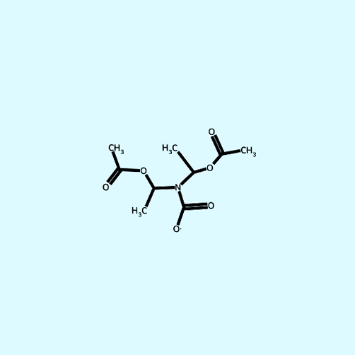 CC(=O)OC(C)N(C([O])=O)C(C)OC(C)=O